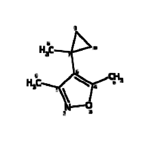 Cc1noc(C)c1C1(C)CC1